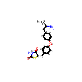 NC(Cc1ccc(Oc2ccc(C[C@@H]3SC(=O)NC3=O)cc2)cc1)C(=O)O